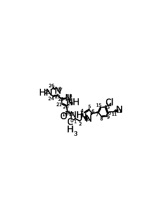 CC(Cn1ccc(-c2ccc(C#N)c(Cl)c2)n1)NC(=O)c1cc(-c2c[nH]cn2)n[nH]1